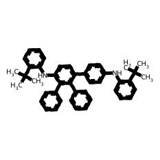 CC(C)(C)c1ccccc1Nc1ccc(-c2ccc(Nc3ccccc3C(C)(C)C)c(-c3ccccc3)c2-c2ccccc2)cc1